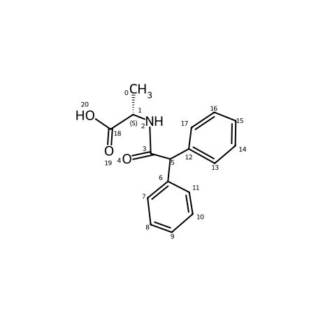 C[C@H](NC(=O)C(c1ccccc1)c1ccccc1)C(=O)O